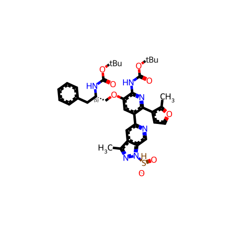 Cc1occc1-c1nc(NC(=O)OC(C)(C)C)c(OC[C@H](Cc2ccccc2)NC(=O)OC(C)(C)C)cc1-c1cc2c(C)nn([SH](=O)=O)c2cn1